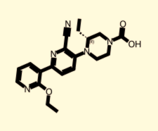 CCOc1ncccc1-c1ccc(N2CCN(C(=O)O)C[C@H]2CC)c(C#N)n1